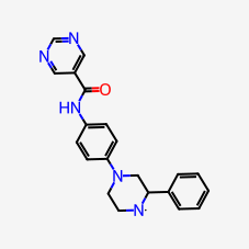 O=C(Nc1ccc(N2CC[N]C(c3ccccc3)C2)cc1)c1cncnc1